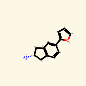 N[C@H]1Cc2ccc(-c3ccco3)cc2C1